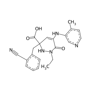 CCN1NC(Cc2ccccc2C#N)(C(=O)O)C=C(Nc2cnccc2C)C1=O